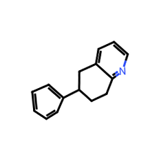 c1ccc(C2CCc3ncccc3C2)cc1